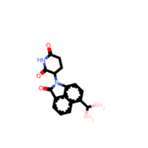 BC(B)c1ccc2c3c(cccc13)C(=O)N2C1CCC(=O)NC1=O